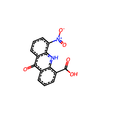 O=C(O)c1cccc2c(=O)c3cccc([N+](=O)[O-])c3[nH]c12